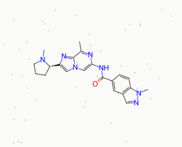 Cc1nc(NC(=O)c2ccc3c(cnn3C)c2)cn2cc([C@H]3CCCN3C)nc12